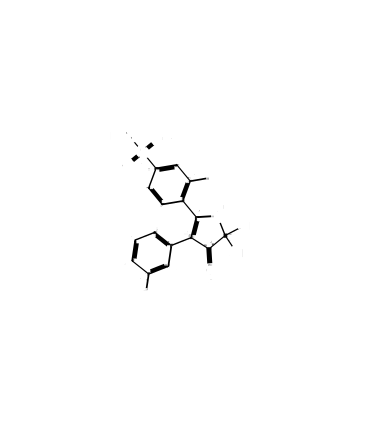 CC1(C)OC(c2ccc(S(N)(=O)=O)cc2F)=C(c2cccc(F)c2)C1=O